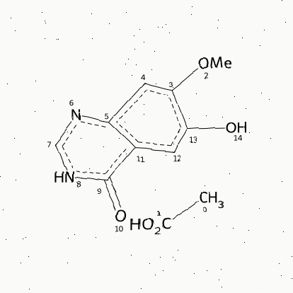 CC(=O)O.COc1cc2nc[nH]c(=O)c2cc1O